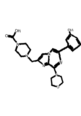 O=C(O)N1CCN(Cc2cn3cc(-c4cccc(O)c4)nc(N4CCOCC4)c3n2)CC1